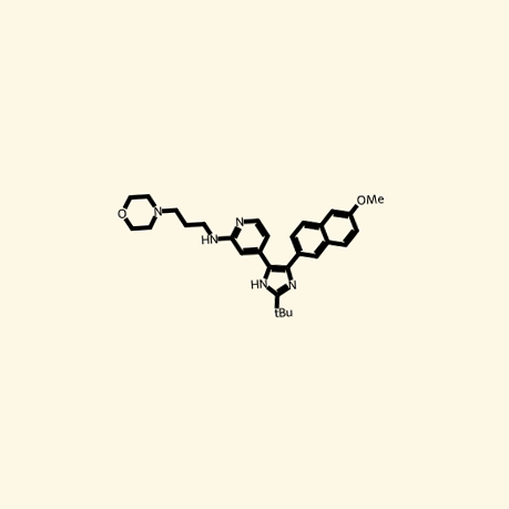 COc1ccc2cc(-c3nc(C(C)(C)C)[nH]c3-c3ccnc(NCCCN4CCOCC4)c3)ccc2c1